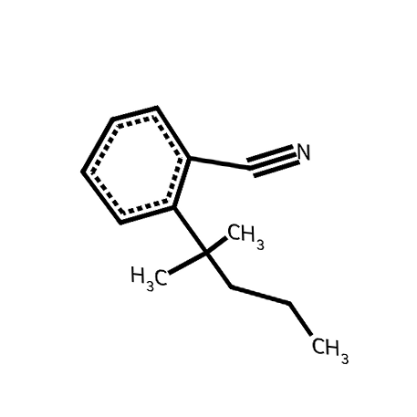 CCCC(C)(C)c1ccccc1C#N